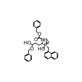 O=C(NC(CCC(O)OCc1ccccc1)P(=O)(O)Cc1cccc2ccccc12)OCc1ccccc1